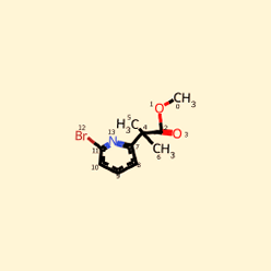 COC(=O)C(C)(C)c1cccc(Br)n1